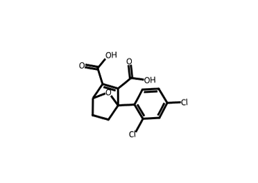 O=C(O)C1=C(C(=O)O)C2(c3ccc(Cl)cc3Cl)CCC1O2